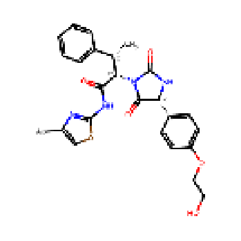 CC(=O)c1csc(NC(=O)[C@H]([C@@H](C)c2ccccc2)N2C(=O)N[C@H](c3ccc(OCCO)cc3)C2=O)n1